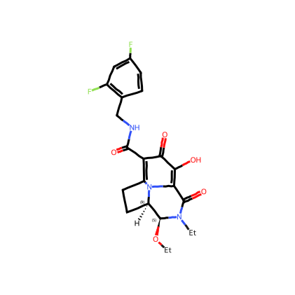 CCO[C@H]1[C@H]2CCc3c(C(=O)NCc4ccc(F)cc4F)c(=O)c(O)c(n32)C(=O)N1CC